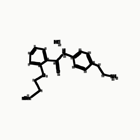 CCCCCCCCCCCCOc1ccccc1C(=O)Nc1ccc(CCN)cc1.Cl